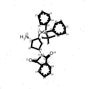 CC(C)(C)[Si](O[C@H]1C[C@H](N2C(=O)c3ccccc3C2=O)C[C@@H]1N)(c1ccccc1)c1ccccc1